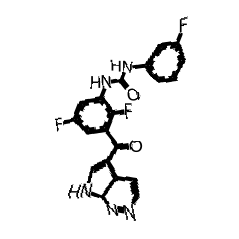 O=C(Nc1cccc(F)c1)Nc1cc(F)cc(C(=O)C2=CNC3N=NC=CC23)c1F